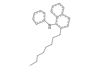 CCCCCCCCc1ccc2ccccc2c1Nc1ccccc1